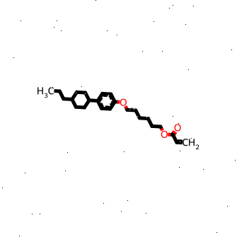 C=CC(=O)OCCCCCCOc1ccc(C2CCC(CCC)CC2)cc1